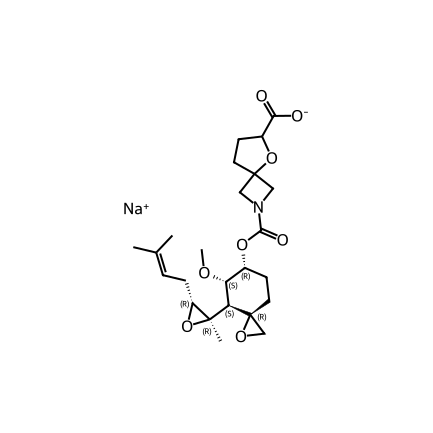 CO[C@@H]1[C@H](OC(=O)N2CC3(CCC(C(=O)[O-])O3)C2)CC[C@]2(CO2)[C@H]1[C@@]1(C)O[C@@H]1CC=C(C)C.[Na+]